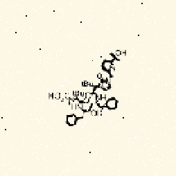 CN(C(=O)O)[C@H](C(=O)N[C@@H](Cc1ccccc1)[C@@H](O)C[C@H](Cc1ccccc1)NC(=O)[C@@H](N1CCN(Cc2cccc(C(C)(C)O)n2)C1=O)C(C)(C)C)C(C)(C)C